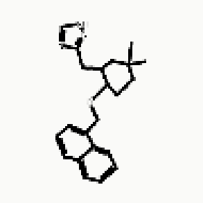 CC1(C)CCC(OCc2cccc3ccccc23)C(Cc2nc[nH]n2)C1